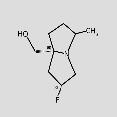 CC1CC[C@]2(CO)C[C@@H](F)CN12